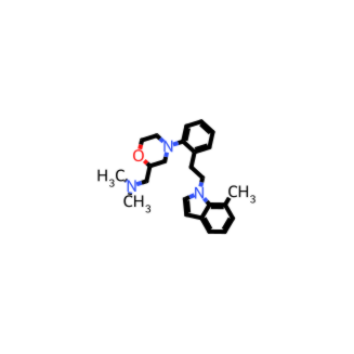 Cc1cccc2ccn(CCc3ccccc3N3CCOC(CN(C)C)C3)c12